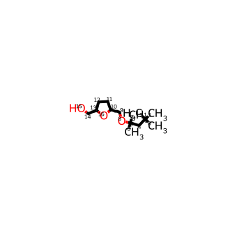 CC(C)(C)CC(C)(C)OCC1CCC(CO)O1